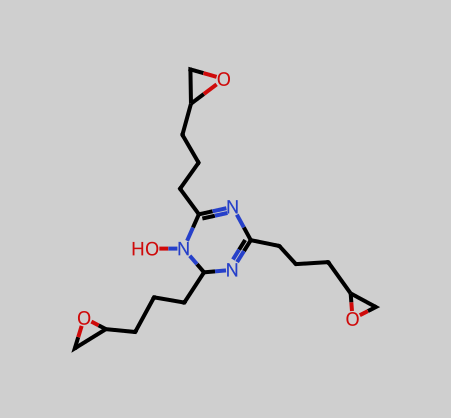 ON1C(CCCC2CO2)=NC(CCCC2CO2)=NC1CCCC1CO1